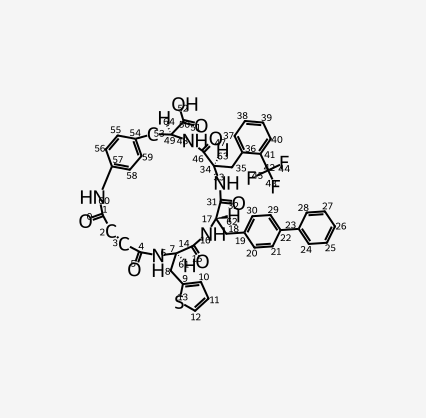 O=C1CCC(=O)N[C@H](Cc2cccs2)C(=O)N[C@@H](Cc2ccc(-c3ccccc3)cc2)C(=O)N[C@H](Cc2ccccc2C(F)(F)F)C(=O)N[C@H](C(=O)O)Cc2ccc(cc2)N1